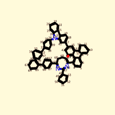 C/C1=C(c2cccc3c4ccccc4c4cc(-c5ccc6c7ccccc7n(-c7ccc(-c8ccccc8)cc7)c6c5)ccc4c23)/N=C(c2ccccc2)\N=C(\c2ccc(-c3ccccc3)cc2)CC1